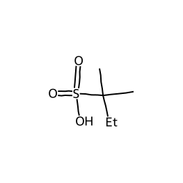 CCC(C)(C)S(=O)(=O)O